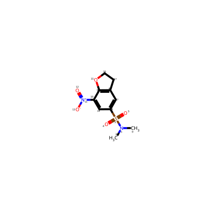 CN(C)S(=O)(=O)c1cc2c(c([N+](=O)[O-])c1)OCC2